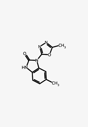 Cc1ccc2[nH]c(=O)n(-c3nnc(C)o3)c2c1